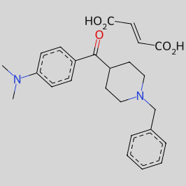 CN(C)c1ccc(C(=O)C2CCN(Cc3ccccc3)CC2)cc1.O=C(O)C=CC(=O)O